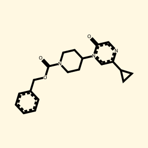 O=C(OCc1ccccc1)N1CCC(n2cc(C3CC3)ncc2=O)CC1